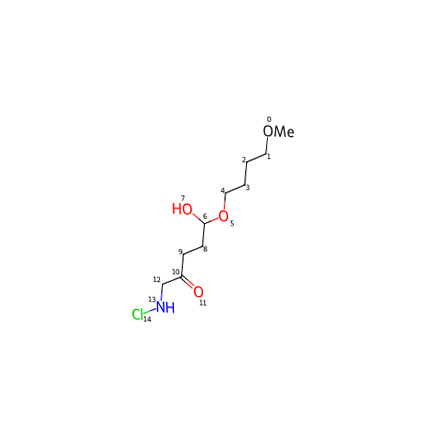 COCCCCOC(O)CCC(=O)CNCl